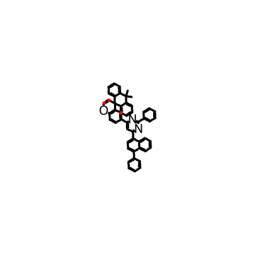 CC1(C)c2ccccc2C2(c3ccccc3Oc3ccc(-c4cc(-c5ccc(-c6ccccc6)c6ccccc56)nc(-c5ccccc5)n4)cc32)c2ccccc21